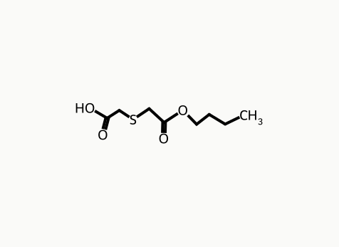 CCCCOC(=O)CSCC(=O)O